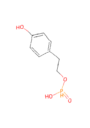 O=[PH](O)OCCc1ccc(O)cc1